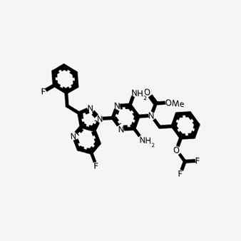 COC(=O)N(Cc1ccccc1OC(F)F)c1c(N)nc(-n2nc(Cc3ccccc3F)c3ncc(F)cc32)nc1N